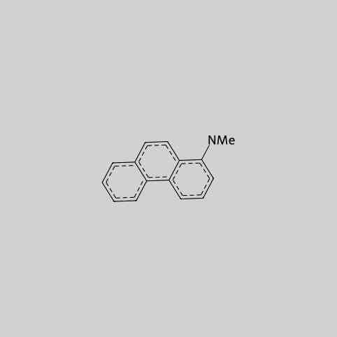 CNc1cccc2c1ccc1ccccc12